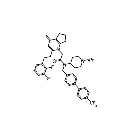 C=C1C=C(CCc2cccc(F)c2F)N(CC(=O)N(Cc2ccc(-c3ccc(C(F)(F)F)cc3)cc2)C2CCN(C(C)C)CC2)C2=C1CCC2